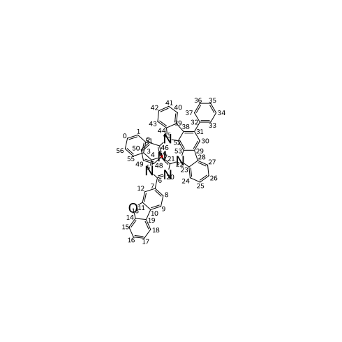 c1ccc(-c2nc(-c3ccc4c(c3)oc3ccccc34)nc(-n3c4ccccc4c4cc(-c5ccccc5)c5c6ccccc6n(-c6ccccc6)c5c43)n2)cc1